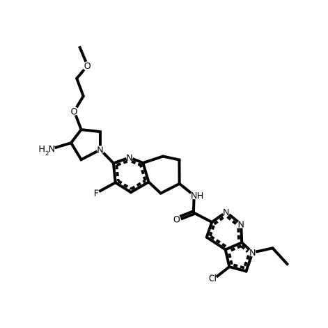 CCn1cc(Cl)c2cc(C(=O)NC3CCc4nc(N5CC(N)C(OCCOC)C5)c(F)cc4C3)nnc21